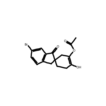 CC(=O)OC1=C(O)CCC2(C1)Cc1ccc(Br)cc1C2=O